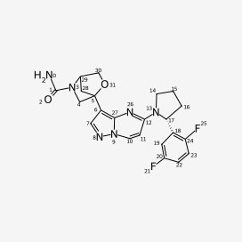 NC(=O)N1CC2(c3cnn4ccc(N5CCC[C@@H]5c5cc(F)ccc5F)nc34)CC1CO2